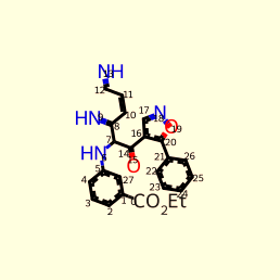 CCOC(=O)c1cccc(NC(C(=N)/C=C\C=N)C(=O)c2cnoc2-c2ccccc2)c1